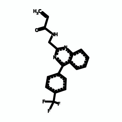 C=CC(=O)NCc1nc(-c2ccc(C(F)(F)F)cc2)c2ccccc2n1